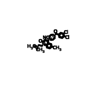 Cc1ccc2c(c1)c(N1CCN(C(=O)c3ccc(Cl)c(Cl)c3)CC1)c([N+](=O)[O-])c(=O)n2CCN(C)C